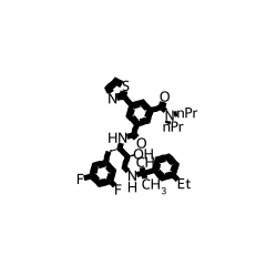 CCCN(CCC)C(=O)c1cc(C(=O)N[C@@H](Cc2cc(F)cc(F)c2)[C@H](O)CNC(C)(C)c2cccc(CC)c2)cc(-c2nccs2)c1